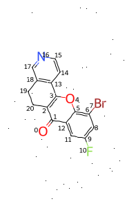 O=c1c2c(oc3c(Br)cc(F)cc13)-c1ccncc1CC2